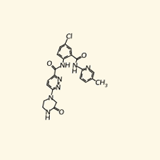 Cc1ccc(NC(=O)c2cc(Cl)ccc2NC(=O)c2ccc(N3CCNC(=O)C3)nn2)nc1